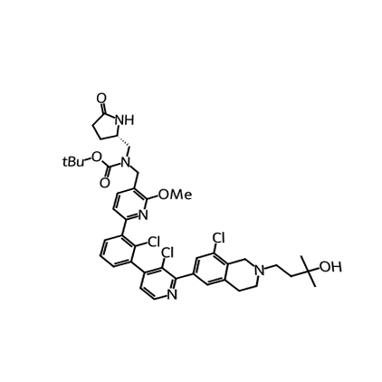 COc1nc(-c2cccc(-c3ccnc(-c4cc(Cl)c5c(c4)CCN(CCC(C)(C)O)C5)c3Cl)c2Cl)ccc1CN(C[C@@H]1CCC(=O)N1)C(=O)OC(C)(C)C